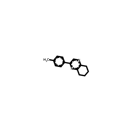 Cc1ccc(-c2cnc3c(n2)CCCC3)cc1